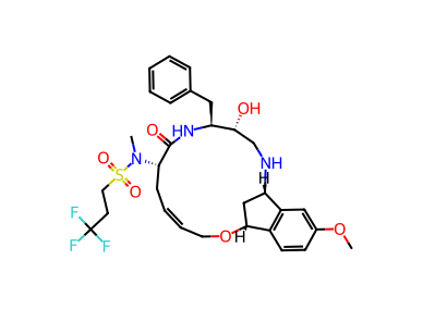 COc1ccc2c(c1)[C@@H]1C[C@H]2OCC=CC[C@H](N(C)S(=O)(=O)CCC(F)(F)F)C(=O)N[C@@H](Cc2ccccc2)[C@H](O)CN1